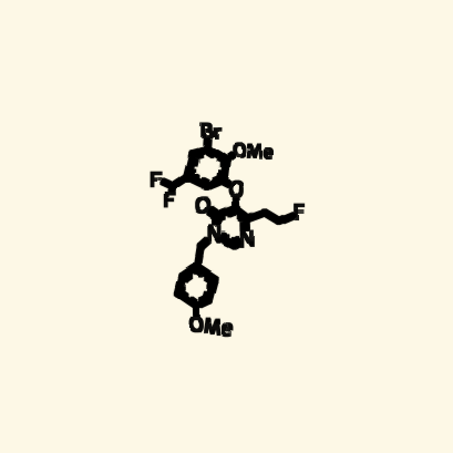 COc1ccc(Cn2cnc(CCF)c(Oc3cc(C(F)F)cc(Br)c3OC)c2=O)cc1